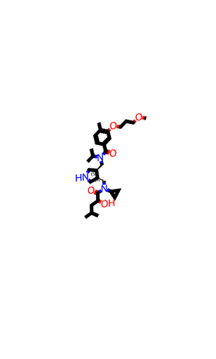 COCCCOc1cc(C(=O)N(C[C@@H]2CNC[C@H]2CN(C(=O)C(O)CC(C)C)C2CC2)C(C)C)ccc1C